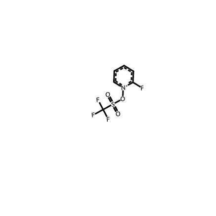 O=S(=O)(O[n+]1ccccc1F)C(F)(F)F